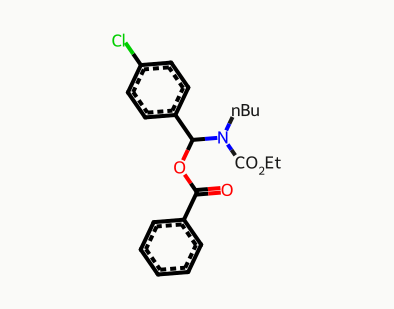 CCCCN(C(=O)OCC)C(OC(=O)c1ccccc1)c1ccc(Cl)cc1